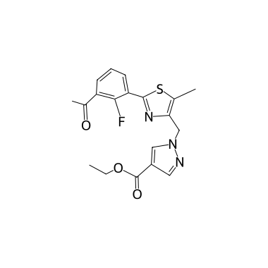 CCOC(=O)c1cnn(Cc2nc(-c3cccc(C(C)=O)c3F)sc2C)c1